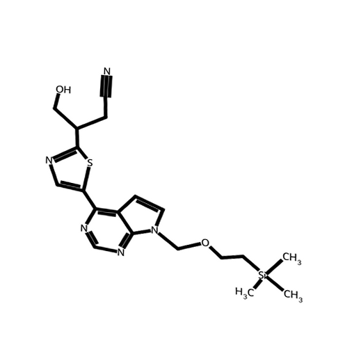 C[Si](C)(C)CCOCn1ccc2c(-c3cnc(C(CO)CC#N)s3)ncnc21